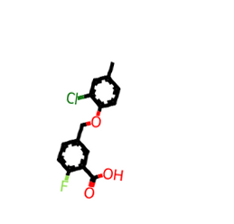 Cc1ccc(OCc2ccc(F)c(C(=O)O)c2)c(Cl)c1